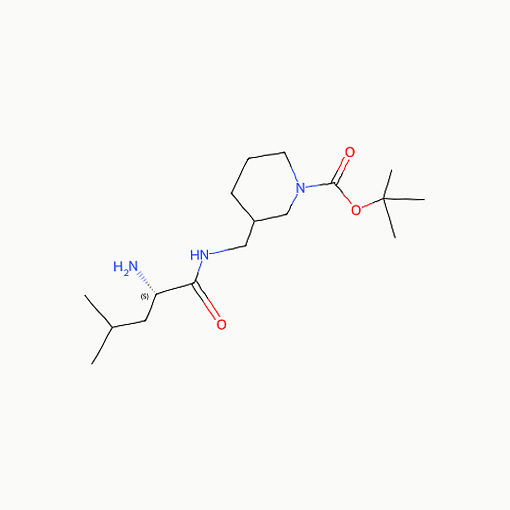 CC(C)C[C@H](N)C(=O)NCC1CCCN(C(=O)OC(C)(C)C)C1